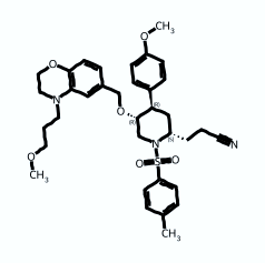 COCCCN1CCOc2ccc(CO[C@H]3CN(S(=O)(=O)c4ccc(C)cc4)[C@@H](CCC#N)C[C@@H]3c3ccc(OC)cc3)cc21